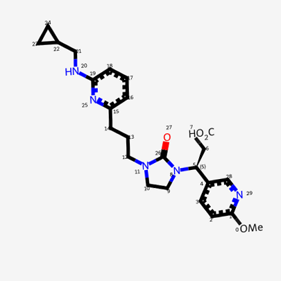 COc1ccc([C@H](CC(=O)O)N2CCN(CCCc3cccc(NCC4CC4)n3)C2=O)cn1